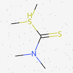 CN(C)C(=S)[SH](C)C